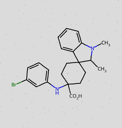 CC1N(C)c2ccccc2C12CCC(Nc1cccc(Br)c1)(C(=O)O)CC2